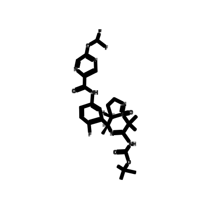 CC(C)(C)OC(=O)NC1=N[C@](C)(c2cc(NC(=O)c3cnc(OC(F)F)cn3)ccc2F)[C@@H]2CCN=S2(=O)C1(C)C